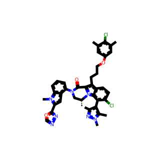 Cc1cc(OCCCc2c3n(c4c(-c5c(C)nn(C)c5C)c(Cl)ccc24)[C@H](C)CN(c2cccc4c2cc(-c2nnco2)n4C)C3=O)cc(C)c1Cl